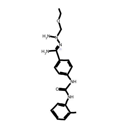 CCOCN(N)/N=C(\N)c1ccc(NC(=O)Nc2ccccc2C)cc1